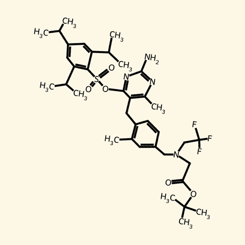 Cc1cc(CN(CC(=O)OC(C)(C)C)CC(F)(F)F)ccc1Cc1c(C)nc(N)nc1OS(=O)(=O)c1c(C(C)C)cc(C(C)C)cc1C(C)C